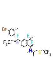 C=C(c1ccc(/C(F)=C/C(c2cc(C)cc(Br)c2)C(F)(F)F)cc1C(C)(F)F)N(C)C(C)CSCC(F)(F)F